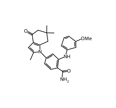 COc1cccc(Nc2cc(-n3c(C)cc4c3CC(C)(C)CC4=O)ccc2C(N)=O)c1